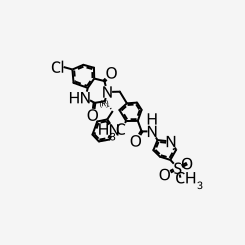 Cc1cc(CN2C(=O)c3ccc(Cl)cc3NC(=O)[C@H]2Cc2ccccn2)ccc1C(=O)Nc1ccc(S(C)(=O)=O)cn1